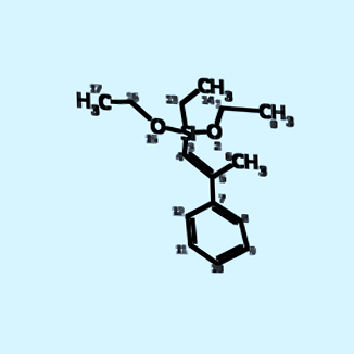 CCO[Si](C=C(C)c1ccccc1)(CC)OCC